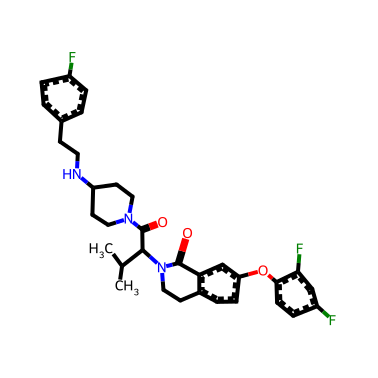 CC(C)C(C(=O)N1CCC(NCCc2ccc(F)cc2)CC1)N1CCc2ccc(Oc3ccc(F)cc3F)cc2C1=O